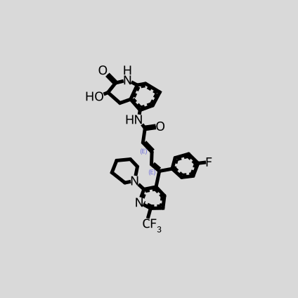 O=C(/C=C/C=C(\c1ccc(F)cc1)c1ccc(C(F)(F)F)nc1N1CCCCC1)Nc1cccc2c1CC(O)C(=O)N2